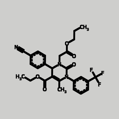 CCCOC(=O)CN1C(=O)N(c2cccc(C(F)(F)F)c2)C(C)=C(C(=O)OCC)C1c1ccc(C#N)cc1